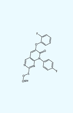 COOSc1ncc2cc(Oc3ccccc3F)c(=O)n(-c3ccc(F)cc3)c2n1